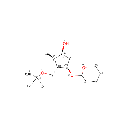 C[C@@H]1[C@@H](CO[Si](C)(C)C(C)(C)C)[C@H](OC2CCCCO2)C[C@@H]1O